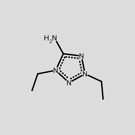 CCn1nc(N)[n+](CC)n1